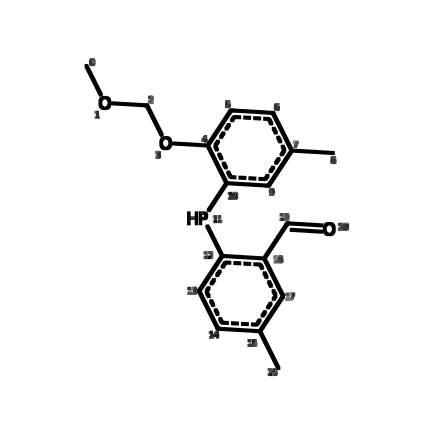 COCOc1ccc(C)cc1Pc1ccc(C)cc1C=O